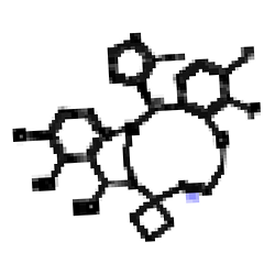 Cc1sccc1[C@H]1c2ccc(F)c(F)c2OC/C=C/C2(CCC2)N2CN1n1ccc(=O)c(O)c1C2O